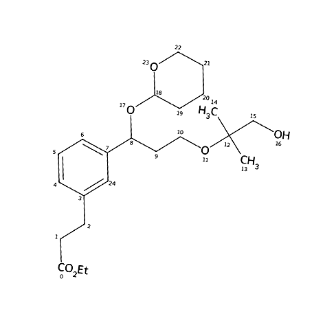 CCOC(=O)CCc1cccc(C(CCOC(C)(C)CO)OC2CCCCO2)c1